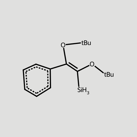 CC(C)(C)OC([SiH3])=C(OC(C)(C)C)c1ccccc1